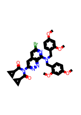 COc1ccc(CN(Cc2ccc(OC)cc2OC)c2nc(Br)cc3cc(N(C(=O)C4CC4)C(=O)C4CC4)nnc23)c(OC)c1